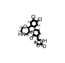 O=c1[nH]c(-c2cccn([C@H]3CNCCOC3c3ccc(Cl)c(Cl)c3)c2=O)no1